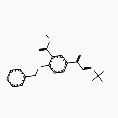 COC(=O)c1cc(C(=O)/C=N/C(C)(C)C)ccc1OCc1ccccc1